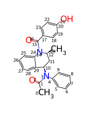 CC(=O)N(c1ccccc1)[C@@H]1C[C@H](C)N(C(=O)c2ccc(O)cc2)c2ccccc21